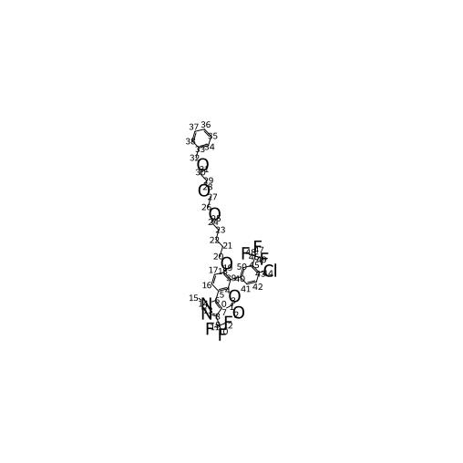 CC(=O)Oc1c(-c2cc(C(F)(F)F)nn2C)ccc(OCCCCCOCCOCCOCc2ccccc2)c1-c1ccc(Cl)c(C(F)(F)F)c1